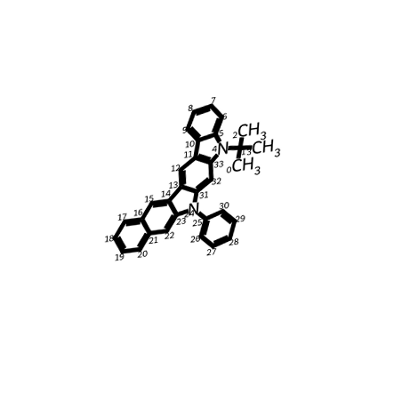 CC(C)(C)n1c2ccccc2c2cc3c4cc5ccccc5cc4n(-c4ccccc4)c3cc21